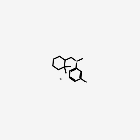 CN(CC1CCCCC1(C)C)c1cccc(F)c1.Cl